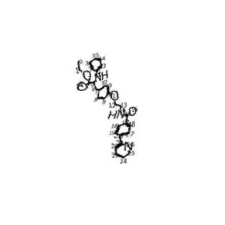 CCOC(=O)C(Cc1ccc(OCCNC(=O)c2ccc(-c3ccccn3)cc2)cc1)Nc1ccccc1